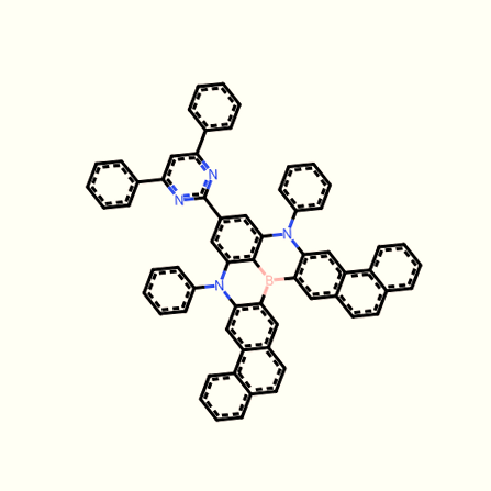 c1ccc(-c2cc(-c3ccccc3)nc(-c3cc4c5c(c3)N(c3ccccc3)c3cc6c(ccc7ccccc76)cc3B5c3cc5ccc6ccccc6c5cc3N4c3ccccc3)n2)cc1